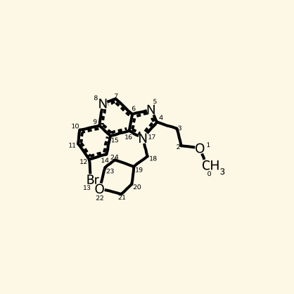 COCCc1nc2cnc3ccc(Br)cc3c2n1CC1CCOCC1